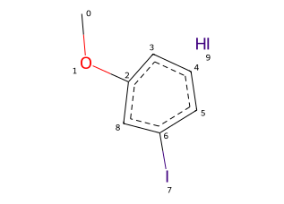 COc1cccc(I)c1.I